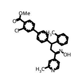 COC(=O)c1ccc(-c2ccc(C(C/C(=N/O)c3ccnc(C)c3)c3ccccc3C)cc2)cc1Cl